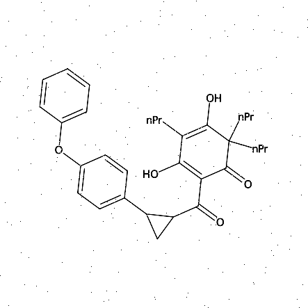 CCCC1=C(O)C(CCC)(CCC)C(=O)C(C(=O)C2CC2c2ccc(Oc3ccccc3)cc2)=C1O